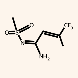 C/C(=C\C(N)=N/S(C)(=O)=O)C(F)(F)F